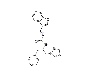 O=C(/C=C/c1coc2ccccc12)NC(Cc1ccccc1)Cn1cncn1